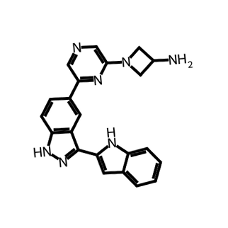 NC1CN(c2cncc(-c3ccc4[nH]nc(-c5cc6ccccc6[nH]5)c4c3)n2)C1